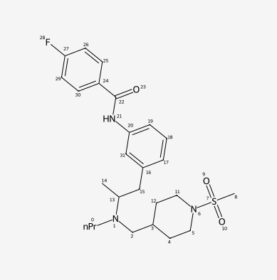 CCCN(CC1CCN(S(C)(=O)=O)CC1)C(C)Cc1cccc(NC(=O)c2ccc(F)cc2)c1